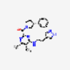 Cc1nc(C(=O)N2CC[C@H](c3ccccc3)C2)nc(NCCc2cn[nH]c2)c1C